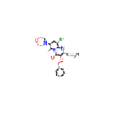 Cc1c(N2CCOCC2)cc(Br)c2nc(C(=O)O)c(OCc3ccccc3)c(=O)n12